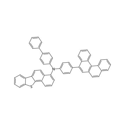 c1ccc(-c2ccc(N(c3ccc(-c4cc5ccc6ccccc6c5c5ccccc45)cc3)c3cccc4c3ccc3c5ccccc5sc43)cc2)cc1